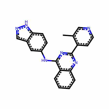 Cc1cnccc1-c1nc(Nc2ccc3[nH]ncc3c2)c2ccccc2n1